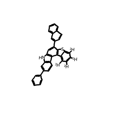 [2H]c1c([2H])c([2H])c2c(sc3c(-c4ccc5ccccc5c4)cc4[nH]c5cc(-c6ccccc6)ccc5c4c32)c1[2H]